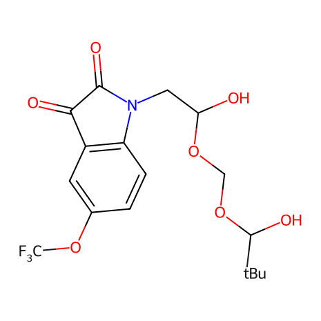 CC(C)(C)C(O)OCOC(O)CN1C(=O)C(=O)c2cc(OC(F)(F)F)ccc21